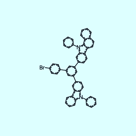 Brc1ccc(-c2cc(-c3ccc4c(c3)c3ccccc3n4-c3ccccc3)cc(-c3ccc4c5ccc6ccccc6c5n(-c5ccccc5)c4c3)c2)cc1